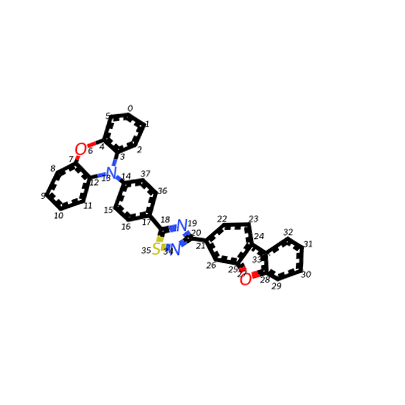 c1ccc2c(c1)Oc1ccccc1N2c1ccc(-c2nc(-c3ccc4c(c3)oc3ccccc34)ns2)cc1